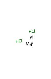 Cl.Cl.[Al].[Mg]